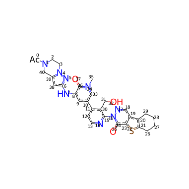 CC(=O)N1CCn2nc(Nc3cc(-c4ccnc(-n5ncc6c7c(sc6c5=O)CCCC7)c4CO)cn(C)c3=O)cc2C1